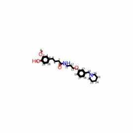 COc1cc(CCCC(=O)NCCCOc2cccc(CN3CCCCC3)c2)ccc1O